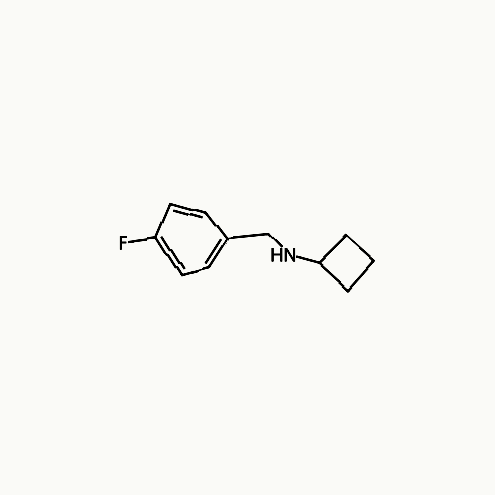 Fc1ccc(CNC2CCC2)cc1